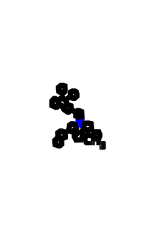 CC1(c2ccccc2)c2ccccc2-c2c(N(c3ccc(-c4ccc5ccccc5c4)cc3)c3cccc(-c4ccc5c(c4)c(-c4ccccc4)c(-c4ccccc4)c4ccccc45)c3)cccc21